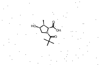 C[C@@H]1[C@H](O)CN(C(=O)C(C)(C)C)[C@@H]1C(=O)O